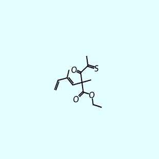 C=CC(C)=CC(C)(C(=O)OCC)C(=O)C(C)=S